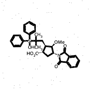 CO[C@@H]1[C@H](CC(C)(C)[Si](O)(c2ccccc2)c2ccccc2)[C@@H](C(=O)O)C[C@H]1N1C(=O)c2ccccc2C1=O